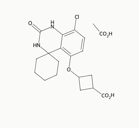 CC(=O)O.O=C1Nc2c(Cl)ccc(OC3CC(C(=O)O)C3)c2C2(CCCCC2)N1